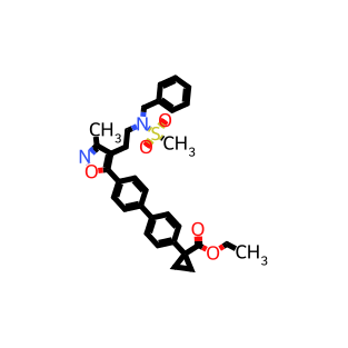 CCOC(=O)C1(c2ccc(-c3ccc(-c4onc(C)c4CCN(Cc4ccccc4)S(C)(=O)=O)cc3)cc2)CC1